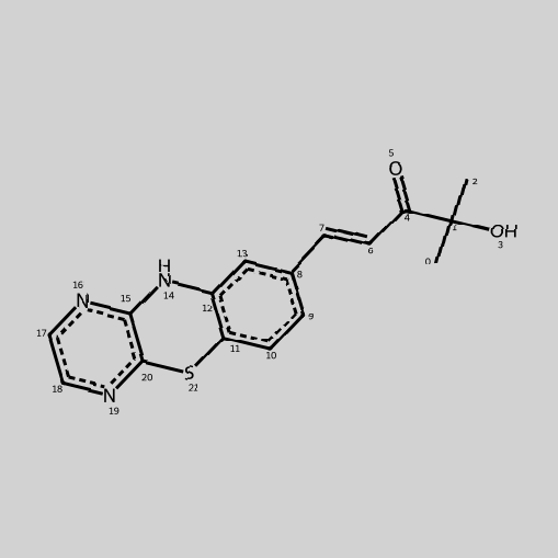 CC(C)(O)C(=O)/C=C/c1ccc2c(c1)Nc1nccnc1S2